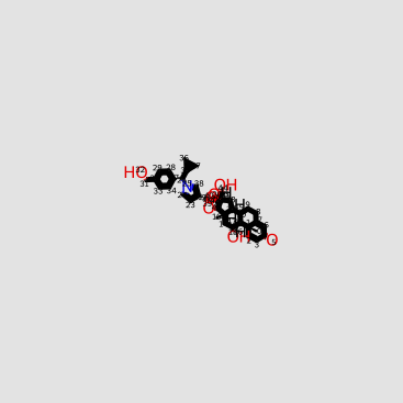 C[C@]12C=CC(=O)C=C1CC[C@@H]1[C@@H]2[C@@H](O)C[C@@]2(C)[C@H]1C[C@H]1O[C@@H](c3ccn([C@H](c4ccc(CO)cc4)C4CC4)c3)O[C@]12C(=O)CO